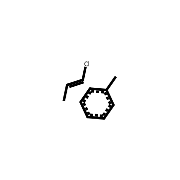 CC=CCl.Cc1ccccc1